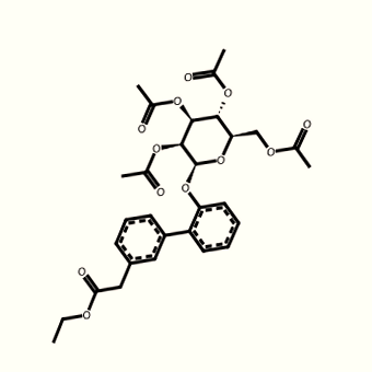 CCOC(=O)Cc1cccc(-c2ccccc2O[C@@H]2O[C@H](COC(C)=O)[C@@H](OC(C)=O)[C@H](OC(C)=O)[C@@H]2OC(C)=O)c1